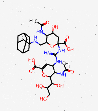 CC(=O)NC1C(O)CC(NC(=N)NC2C=C(C(=O)O)OC(C(O)C(O)CO)C2NC(C)=O)(C(=O)O)OC1CNC12CC3CC(CC(C3)C1)C2